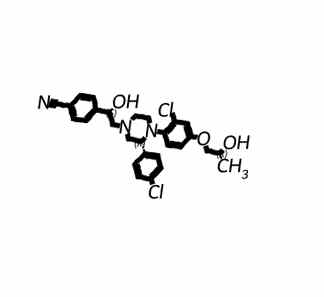 C[C@@H](O)COc1ccc(N2CCN(C[C@@H](O)c3ccc(C#N)cc3)C[C@H]2c2ccc(Cl)cc2)c(Cl)c1